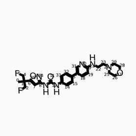 CC(CF)(CF)c1cc(NC(=O)Nc2ccc(-c3ccc(NCCN4CCOCC4)nc3)cc2)no1